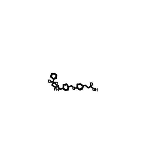 CC(CS(=O)(=O)c1ccccc1)NCc1ccc(COc2ccc(CCC(=O)O)cc2)cc1